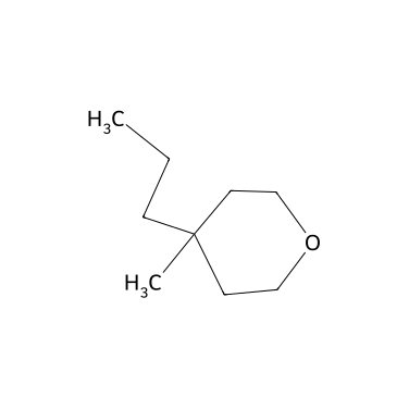 CCCC1(C)CCOCC1